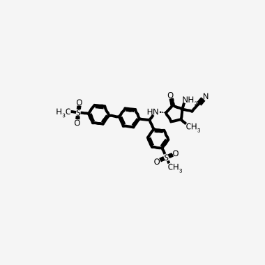 CC1C[C@H](NC(c2ccc(-c3ccc(S(C)(=O)=O)cc3)cc2)c2ccc(S(C)(=O)=O)cc2)C(=O)C1(N)CC#N